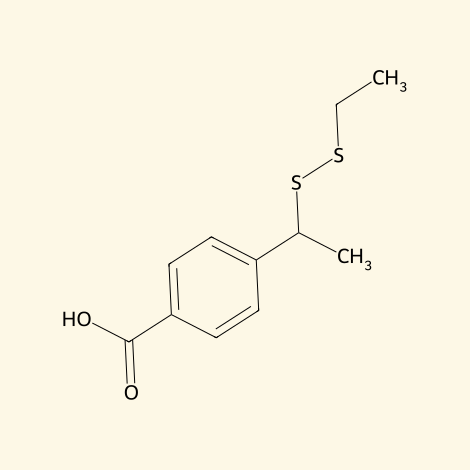 CCSSC(C)c1ccc(C(=O)O)cc1